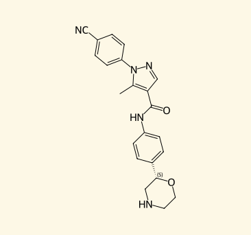 Cc1c(C(=O)Nc2ccc([C@H]3CNCCO3)cc2)cnn1-c1ccc(C#N)cc1